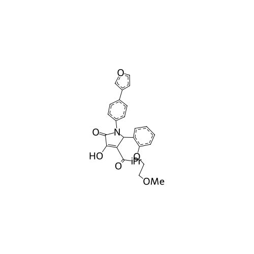 COCCOc1ccccc1C1C(C(=O)C(C)C)=C(O)C(=O)N1c1ccc(-c2ccoc2)cc1